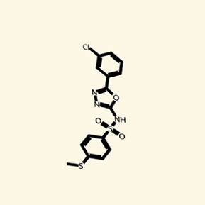 CSc1ccc(S(=O)(=O)Nc2nnc(-c3cccc(Cl)c3)o2)cc1